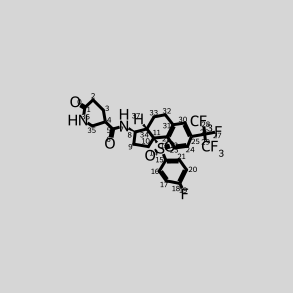 O=C1CCC(C(=O)N[C@@H]2CC[C@@]3(S(=O)(=O)c4ccc(F)cc4)c4ccc(C(F)(C(F)(F)F)C(F)(F)F)cc4CC[C@@H]23)CN1